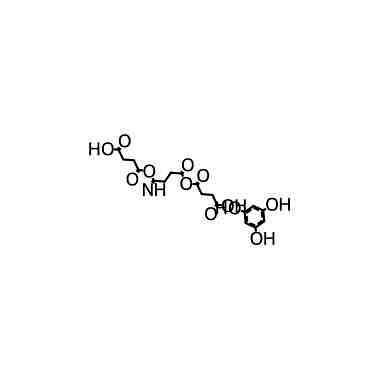 N=C(CCC(=O)OC(=O)CCC(=O)O)OC(=O)CCC(=O)O.Oc1cc(O)cc(O)c1